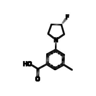 Cc1cc(C(=O)O)cc(N2CC[C@H](F)C2)c1